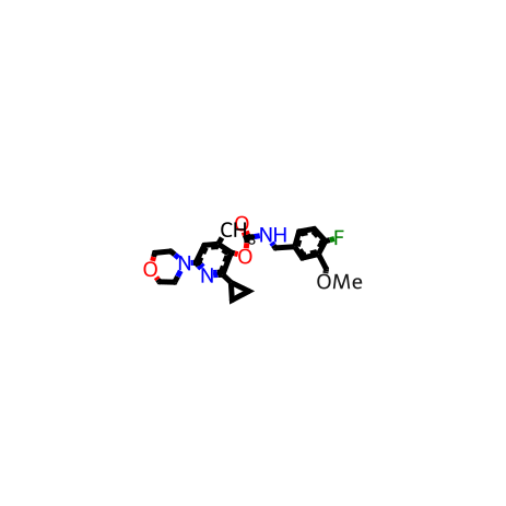 COCc1cc(CNC(=O)Oc2c(C)cc(N3CCOCC3)nc2C2CC2)ccc1F